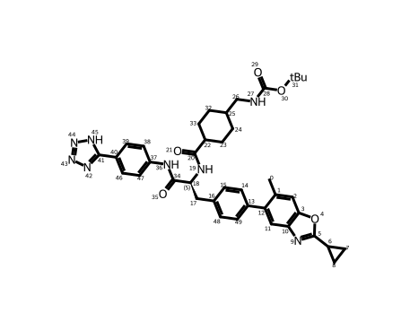 Cc1cc2oc(C3CC3)nc2cc1-c1ccc(C[C@H](NC(=O)C2CCC(CNC(=O)OC(C)(C)C)CC2)C(=O)Nc2ccc(-c3nnn[nH]3)cc2)cc1